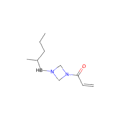 C=CC(=O)N1CN(BC(C)CCC)C1